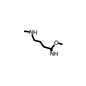 CNCCCC(=N)OC